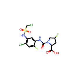 O=C(O)C1CC(F)CN1C(=O)Nc1cc(NS(=O)(=O)CCl)c(Cl)cc1F